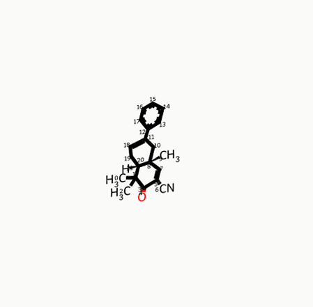 CC1(C)C(=O)C(C#N)=C[C@@]2(C)CC(c3ccccc3)=CC[C@@H]12